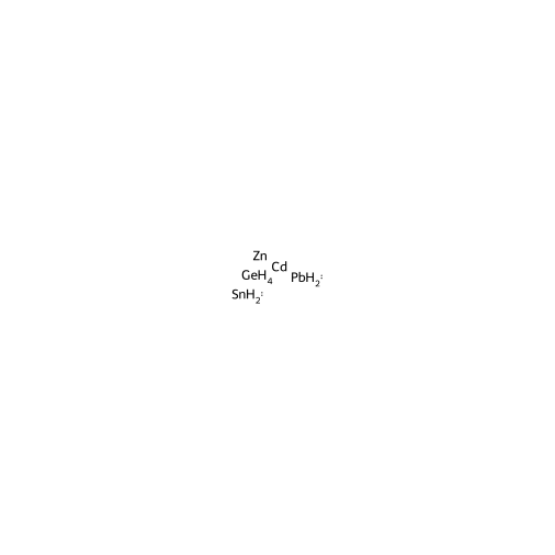 [Cd].[GeH4].[PbH2].[SnH2].[Zn]